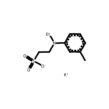 CCN(CCS(=O)(=O)[O-])c1cccc(C)c1.[K+]